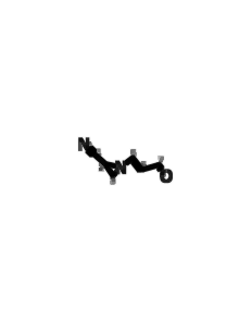 N#CC1CN1/C=C/C=O